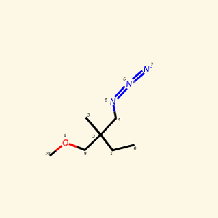 CCC(C)(CN=[N+]=[N-])COC